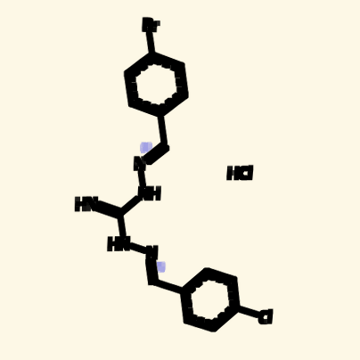 Cl.N=C(N/N=C/c1ccc(Cl)cc1)N/N=C/c1ccc(Br)cc1